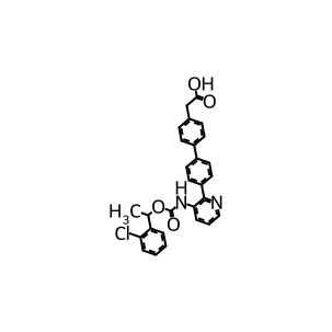 CC(OC(=O)Nc1cccnc1-c1ccc(-c2ccc(CC(=O)O)cc2)cc1)c1ccccc1Cl